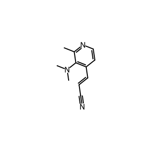 Cc1nccc(C=CC#N)c1N(C)C